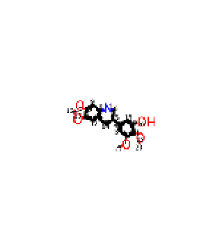 COc1cc(-c2cnc3cc4c(cc3c2)OCO4)cc(O)c1OC